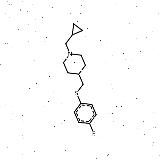 Fc1ccc(SCC2CCN(CC3CC3)CC2)cc1